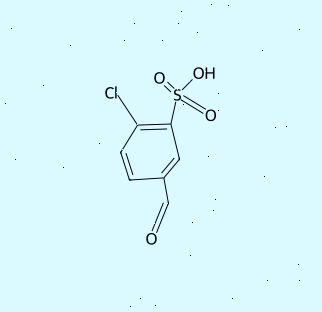 O=Cc1ccc(Cl)c(S(=O)(=O)O)c1